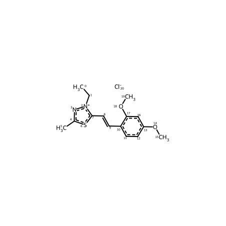 CC[n+]1nc(C)sc1/C=C/c1ccc(OC)cc1OC.[Cl-]